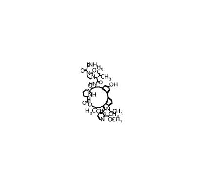 CCn1c(-c2cccnc2[C@H](C)OC)c2c3cc(ccc31)-c1cc(O)cc(c1)C[C@H](NC(=O)[C@H](C(C)C)N1CCN(C(=O)[C@@H]3CN3)C1=O)C(=O)N1CCC[C@H](N1)C(=O)OCC(C)(C)C2